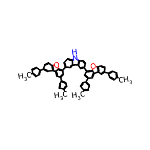 Cc1ccc(-c2ccc3oc4c(-c5ccc6[nH]c7ccc(-c8cc(-c9ccc(C)cc9)cc9c8oc8ccc(-c%10ccc(C)cc%10)cc89)cc7c6c5)cc(-c5ccc(C)cc5)cc4c3c2)cc1